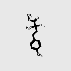 COC(=O)C(C)(C)CCc1ccc(C)cc1